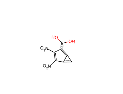 O=[N+]([O-])c1cc2cc-2c1[N+](=O)[O-].OBO